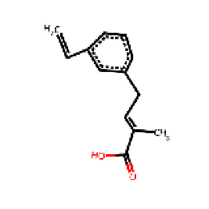 C=Cc1cccc(C/C=C(\C)C(=O)O)c1